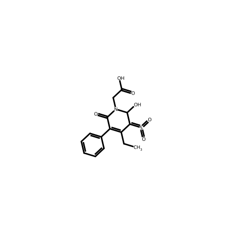 CCC1=C(c2ccccc2)C(=O)N(CC(=O)O)C(O)C1=S(=O)=O